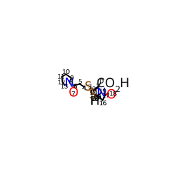 O=C(O)C1=C(SCCC(=O)N2CCCCC2)S[C@H]2CC(=O)N12